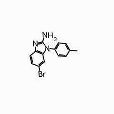 Cc1ccc(-n2c(N)nc3ccc(Br)cc32)cc1